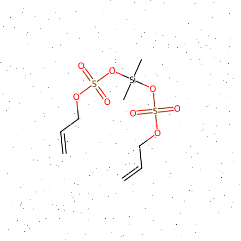 C=CCOS(=O)(=O)O[Si](C)(C)OS(=O)(=O)OCC=C